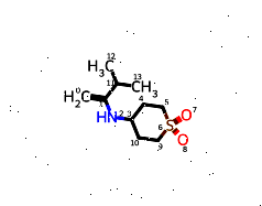 C=C(NC1CCS(=O)(=O)CC1)C(C)C